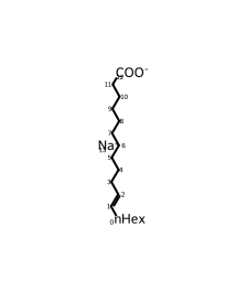 CCCCCC/C=C/CCCCCCCCCC(=O)[O-].[Na+]